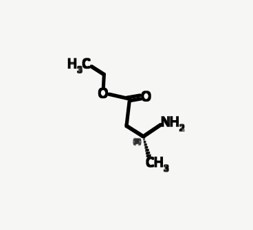 CCOC(=O)C[C@@H](C)N